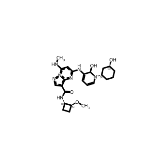 CNc1cc(NC2=CC=CN([C@H]3CCC[C@H](O)C3)C2O)nc2c(C(=O)N[C@H]3CC[C@@H]3OC)cnn12